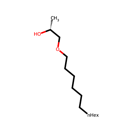 CCCCCCCCCCCCOC[C@@H](C)O